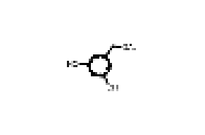 CC(=O)OCc1cc(O)cc(O)c1